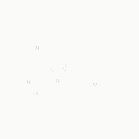 [2H]C1=C(c2cnc(Cl)c3cnc(NC4CCC(OC)CC4)nc23)C=CN(C)C1[2H]